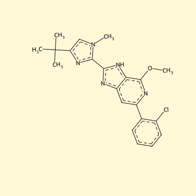 COc1nc(-c2ccccc2Cl)cc2nc(-c3nc(C(C)(C)C)cn3C)[nH]c12